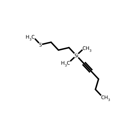 CCCC#C[Si](C)(C)CCCSC